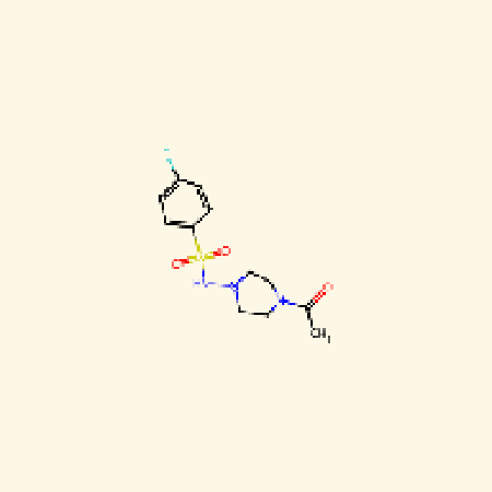 CC(=O)N1CCN(NS(=O)(=O)c2ccc(F)cc2)CC1